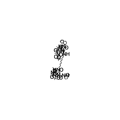 C[C@@H](C(=O)N[C@H](C(=O)N1C[C@@H](NC(=O)CCCCCCCCC(=O)N[C@H]2C[C@@H](C(=O)N[C@@H]3CCCc4ccccc43)N(C(=O)[C@@H](NC(=O)[C@H](C)N(C)C(=O)OC(C)(C)C)C(C)(C)C)C2)C[C@H]1C(=O)N[C@@H]1CCCc2ccccc21)C(C)(C)C)N(C)C(=O)OC(C)(C)C